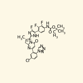 C[C@H]1Cc2nc(-c3cc(Cl)ccc3-n3cnnn3)cc(=O)n2[C@@H]1c1nc(F)c(-c2ccc(NC(=O)OC(C)(C)C)c(F)c2F)[nH]1